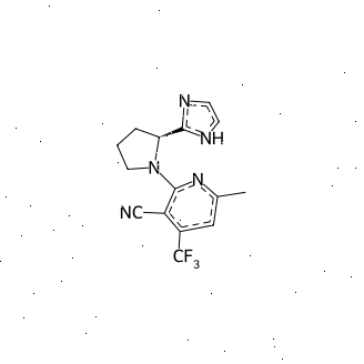 Cc1cc(C(F)(F)F)c(C#N)c(N2CCC[C@H]2c2ncc[nH]2)n1